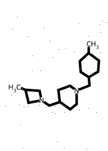 CC1CCC(CN2CCC(CN3CC(C)C3)CC2)CC1